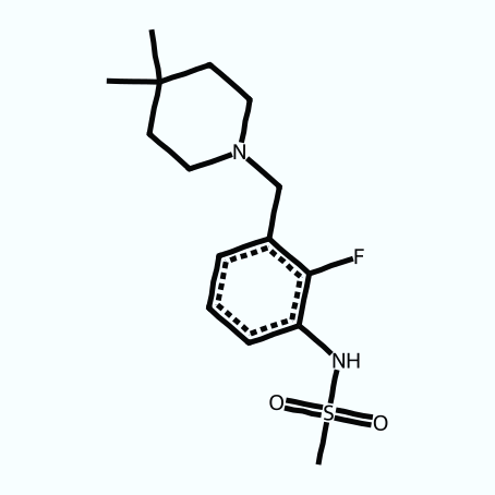 CC1(C)CCN(Cc2cccc(NS(C)(=O)=O)c2F)CC1